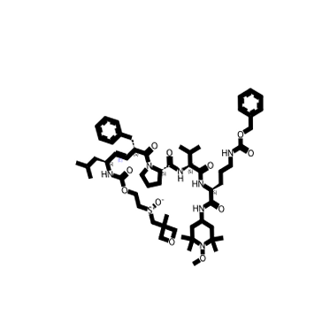 CON1C(C)(C)CC(NC(=O)[C@H](CCCNC(=O)OCc2ccccc2)NC(=O)[C@@H](NC(=O)[C@@H]2CCCN2C(=O)[C@H](/C=C/[C@H](CC(C)C)NC(=O)OCC[S+]([O-])CC2(C)COC2)Cc2ccccc2)C(C)C)CC1(C)C